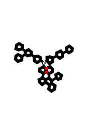 c1ccc(-c2ccc(-c3ccc(N(c4ccc(-c5ccc(-c6ccccc6)c(-c6ccccc6)c5)cc4)c4ccc(-c5cccc6c5c(-c5ccccc5)c(-c5ccccc5)c5ccccc56)cc4)cc3)cc2)cc1